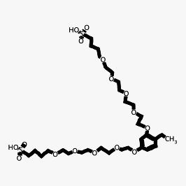 CCc1ccc(OCCOCCOCCOCCOCCCCS(=O)(=O)O)cc1OCCOCCOCCOCCOCCCCS(=O)(=O)O